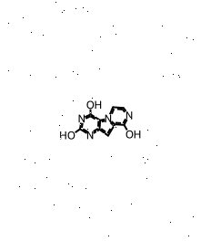 Oc1nc(O)c2c(cc3c(O)nccn32)n1